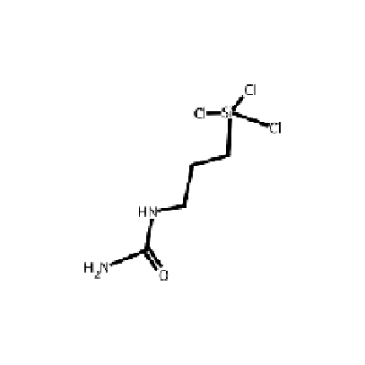 NC(=O)NCCC[Si](Cl)(Cl)Cl